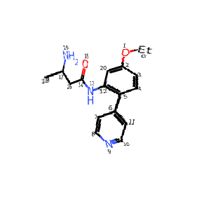 CCOc1ccc(-c2ccncc2)c(NC(=O)CC(C)N)c1